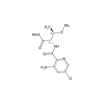 COC(=O)[C@@H](NC(=O)c1ncc(Cl)cc1N)[C@@H](C)OC(C)(C)C